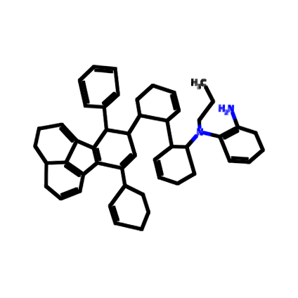 CCCN(C1=C(N)CCC=C1)C1CCC=CC1C1C=CCCC1C1C=C(C2C=CCCC2)C2=C(C3=CCCC4CC=CC2=C34)C1c1ccccc1